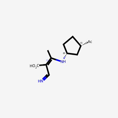 CC(=O)[C@H]1CC[C@@H](N/C(C)=C(\C=N)C(=O)O)C1